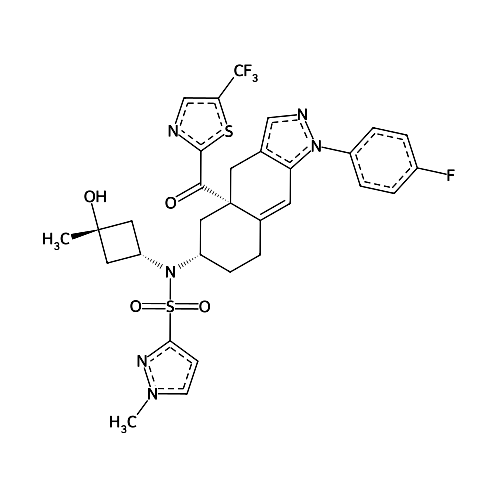 Cn1ccc(S(=O)(=O)N([C@H]2CCC3=Cc4c(cnn4-c4ccc(F)cc4)C[C@]3(C(=O)c3ncc(C(F)(F)F)s3)C2)[C@H]2C[C@@](C)(O)C2)n1